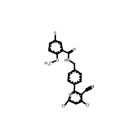 COc1ccc(F)cc1C(=O)NCc1ccc(-c2nc(Cl)cc(Cl)c2C#N)cc1